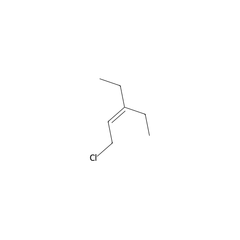 CCC(=CCCl)CC